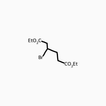 CCOC(=O)CCC(Br)CC(=O)OCC